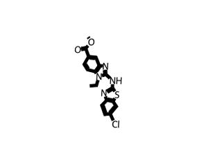 CCn1c(Nc2nc3ccc(Cl)cc3s2)nc2cc(C(=O)OC)ccc21